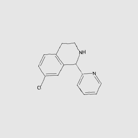 Clc1ccc2c(c1)C(c1ccccn1)NCC2